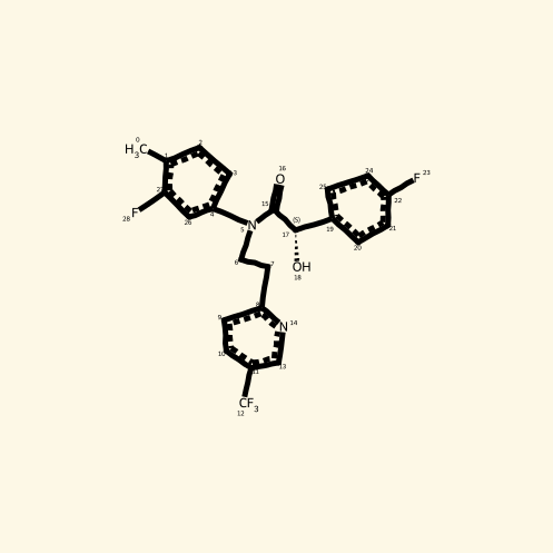 Cc1ccc(N(CCc2ccc(C(F)(F)F)cn2)C(=O)[C@@H](O)c2ccc(F)cc2)cc1F